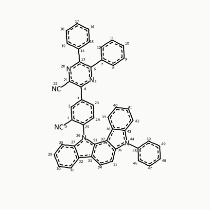 N#Cc1cc(-c2nc(-c3ccccc3)c(-c3ccccc3)nc2C#N)ccc1-n1c2ccccc2c2ccc3c(c4ccccc4n3-c3ccccc3)c21